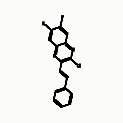 Fc1cc2nc(Cl)c(/C=C/c3ccccc3)nc2cc1F